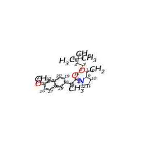 C=C(OCCC(C)(C)C)C1CCCN1C(=O)[C@@H](C)c1ccc2cc(OC)ccc2c1